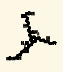 CCCCCCCCNCCCNCCC(N)Cc1cc(CC(N)CCNCCCNCCCCCCCC)cc(OCCCNCC(C)C)c1